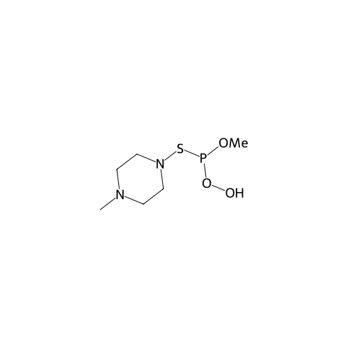 COP(OO)SN1CCN(C)CC1